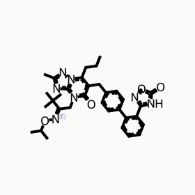 CCCc1c(Cc2ccc(-c3ccccc3-c3noc(=O)[nH]3)cc2)c(=O)n(C/C(=N/OC(C)C)C(C)(C)C)c2nc(C)nn12